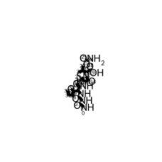 CNC(=O)NC(=O)NC(C(=O)NC1C(=O)N2C(C(=O)O)=C(COC(N)=O)CS[C@@H]12)c1ccco1